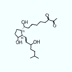 CC(=O)C(=O)CCCCCC(O)[C@H]1CCC(O)[C@@H]1C=CC(O)CCC(C)C